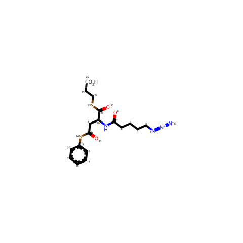 [N-]=[N+]=NCCCCC(=O)NC(CC(=O)Sc1ccccc1)C(=O)SCCC(=O)O